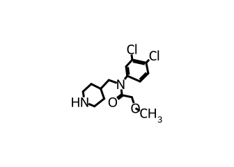 COCC(=O)N(CC1CCNCC1)c1ccc(Cl)c(Cl)c1